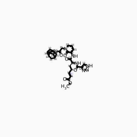 COC(=O)/C=C/CC[C@H](NC(=O)c1c[nH]nn1)C(=O)Nc1cccn(CC(=O)NC2C3CC4CC(C3)C2C4)c1=O